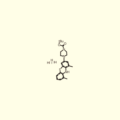 Cc1cccc2c1Nc1c(C)cc(N3CCN(C(=O)OC(C)(C)C)CC3)cc1S2.I.I.I